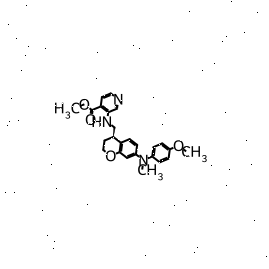 COC(=O)c1ccncc1NC[C@@H]1CCOc2cc(N(C)c3ccc(OC)cc3)ccc21